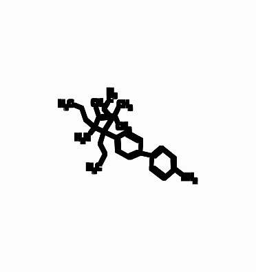 CCCC(N)(C(C)=C(C)C)C(CCC)(CCC)c1ccc(-c2ccc(N)cc2)cc1